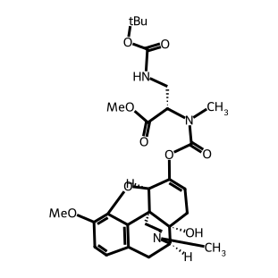 COC(=O)[C@H](CNC(=O)OC(C)(C)C)N(C)C(=O)OC1=CC[C@@]2(O)[C@H]3Cc4ccc(OC)c5c4[C@@]2(CCN3C)[C@H]1O5